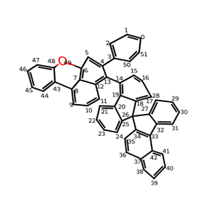 c1ccc(-c2cc3c4c(cccc4c2-c2cccc4c2-c2ccccc2C42c4ccccc4-c4c2ccc2ccccc42)-c2ccccc2O3)cc1